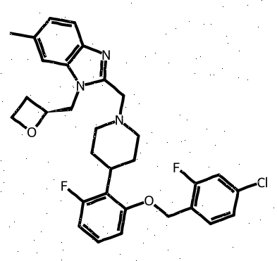 Cc1ccc2nc(CN3CCC(c4c(F)cccc4OCc4ccc(Cl)cc4F)CC3)n(C[C@@H]3CCO3)c2c1